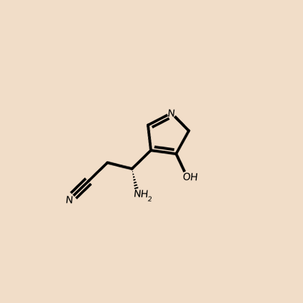 N#CC[C@@H](N)C1=C(O)CN=C1